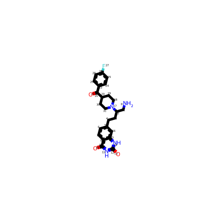 NCC(CCc1ccc2c(=O)[nH]c(=O)[nH]c2c1)N1CCC(C(=O)c2ccc(F)cc2)CC1